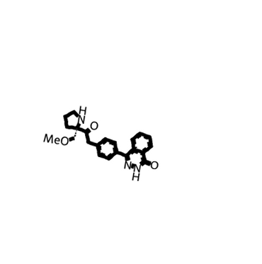 COC[C@]1(C(=O)Cc2ccc(-c3n[nH]c(=O)c4ccccc34)cc2)CCCN1